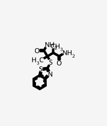 CC(C(N)=O)C(C)(Sc1nc2ccccc2s1)C(N)=O